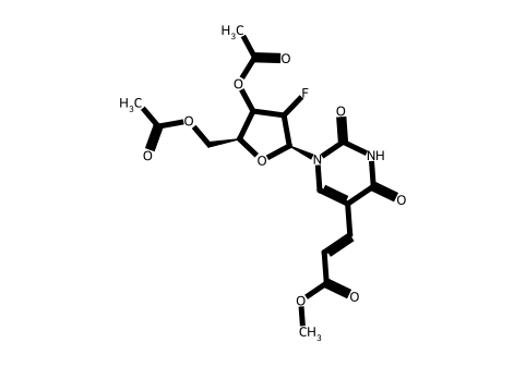 COC(=O)C=Cc1cn([C@H]2O[C@@H](COC(C)=O)C(OC(C)=O)C2F)c(=O)[nH]c1=O